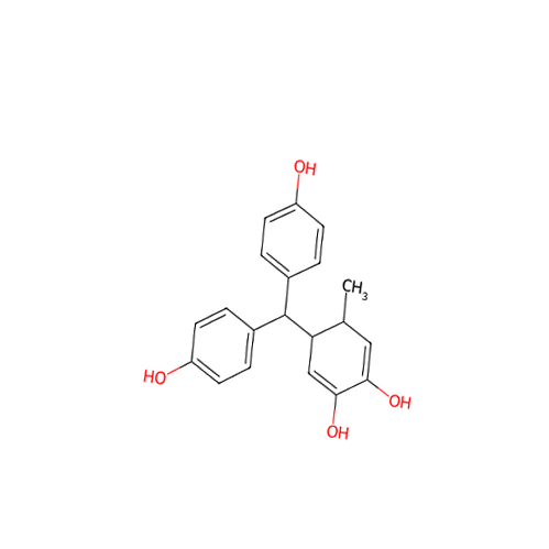 CC1C=C(O)C(O)=CC1C(c1ccc(O)cc1)c1ccc(O)cc1